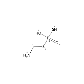 NCSP(=O)(O)S